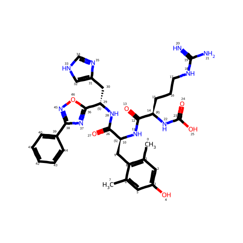 Cc1cc(O)cc(C)c1C[C@H](NC(=O)[C@@H](CCCNC(=N)N)NC(=O)O)C(=O)N[C@@H](Cc1c[nH]cn1)c1nc(-c2ccccc2)no1